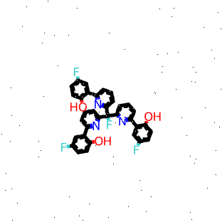 Oc1ccc(F)cc1-c1cccc(C(F)(c2cccc(-c3cc(F)ccc3O)n2)c2cccc(-c3cc(F)ccc3O)n2)n1